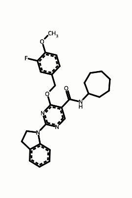 COc1ccc(COc2nc(N3CCc4ccccc43)ncc2C(=O)NC2CCCCCC2)cc1F